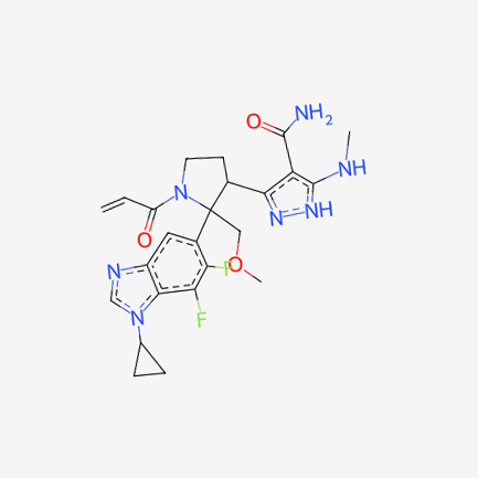 C=CC(=O)N1CCC(c2n[nH]c(NC)c2C(N)=O)C1(COC)c1cc2ncn(C3CC3)c2c(F)c1F